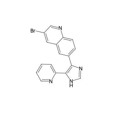 Brc1cnc2ccc(-c3nc[nH]c3-c3ccccn3)cc2c1